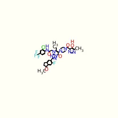 CCc1c(N2CCN(C(=O)c3ncnc(C)c3O)CC2)c(=O)n2nc(-c3cc4c(cc3F)[C@@H](OC)CC4)nc2n1CC(=O)Nc1ccc(C(F)(F)F)cc1Cl